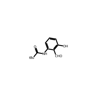 CC(C)(C)C(=O)Nc1cccc(O)c1C=O